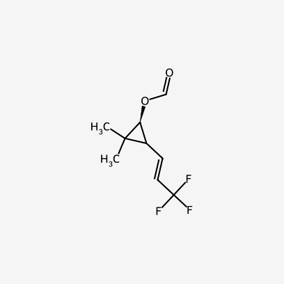 CC1(C)C(/C=C/C(F)(F)F)[C@@H]1OC=O